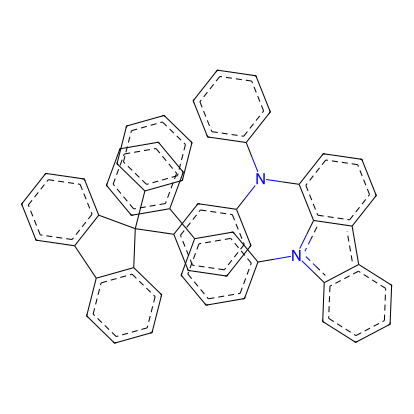 c1ccc(-c2cccc(-n3c4ccccc4c4cccc(N(c5ccccc5)c5cccc(C6(c7ccccc7)c7ccccc7-c7ccccc76)c5)c43)c2)cc1